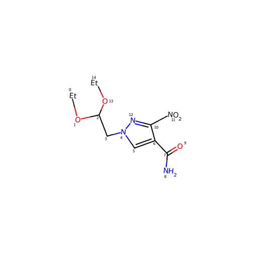 CCOC(Cn1cc(C(N)=O)c([N+](=O)[O-])n1)OCC